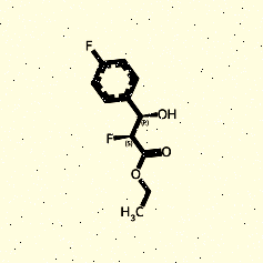 CCOC(=O)[C@@H](F)[C@H](O)c1ccc(F)cc1